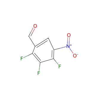 O=Cc1cc([N+](=O)[O-])c(F)c(F)c1F